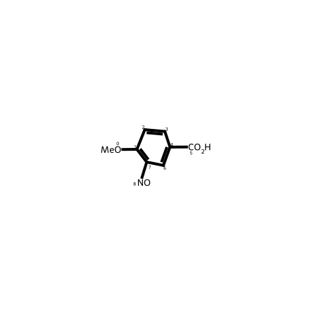 COc1ccc(C(=O)O)cc1N=O